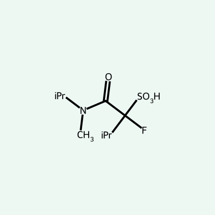 CC(C)N(C)C(=O)C(F)(C(C)C)S(=O)(=O)O